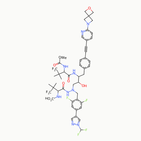 COC(=O)NC(C(=O)NC(Cc1ccc(C#Cc2ccc(N3CC4(COC4)C3)nc2)cc1)C(O)CN(Cc1c(F)cc(-c2cnn(C(F)F)c2)cc1F)NC(=O)C(NC(=O)O)C(C)(C)C(F)(F)F)C(C)(C)C(F)(F)F